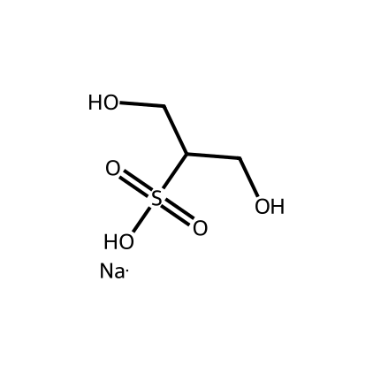 O=S(=O)(O)C(CO)CO.[Na]